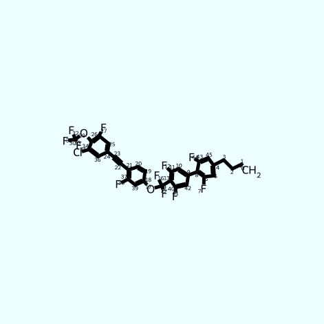 C=CCCc1cc(F)c(-c2cc(F)c(C(F)(F)Oc3ccc(C#Cc4cc(F)c(OC(F)(F)F)c(Cl)c4)c(F)c3)c(F)c2)c(F)c1